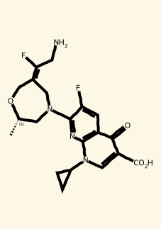 C[C@H]1CN(c2nc3c(cc2F)c(=O)c(C(=O)O)cn3C2CC2)CC(=C(F)CN)CO1